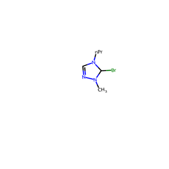 CCCN1C=NN(C)C1Br